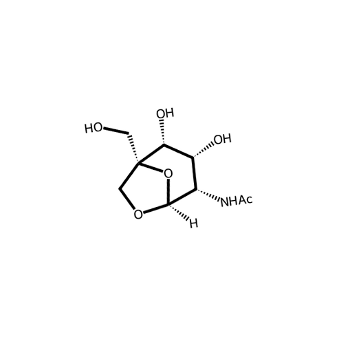 CC(=O)N[C@@H]1[C@H]2OC[C@](CO)(O2)[C@H](O)[C@@H]1O